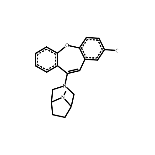 CN1C2CCC1CN(C1=Cc3cc(Cl)ccc3Oc3ccccc31)C2